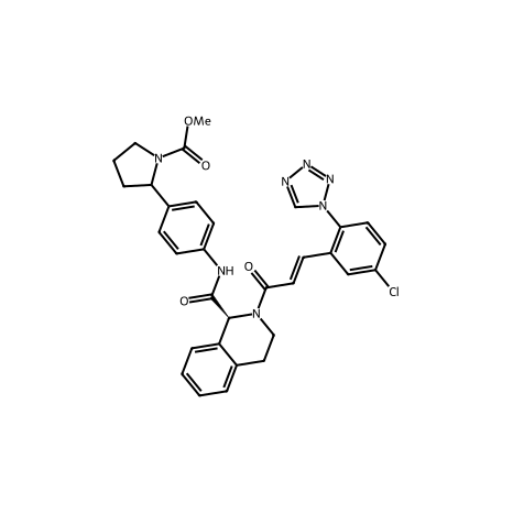 COC(=O)N1CCCC1c1ccc(NC(=O)[C@@H]2c3ccccc3CCN2C(=O)C=Cc2cc(Cl)ccc2-n2cnnn2)cc1